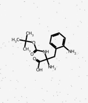 CC(C)(C)OC(=O)NC(N)(Cc1ccccc1N)C(=O)O